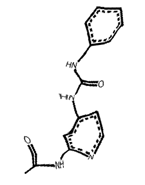 CC(=O)Nc1cc(NC(=O)Nc2ccccc2)ccn1